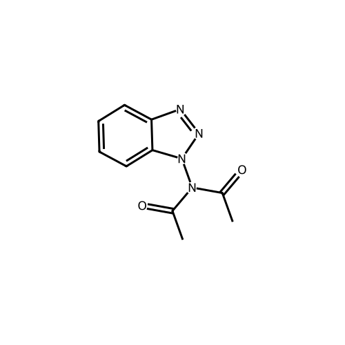 CC(=O)N(C(C)=O)n1nnc2ccccc21